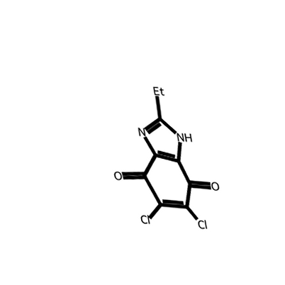 CCc1nc2c([nH]1)C(=O)C(Cl)=C(Cl)C2=O